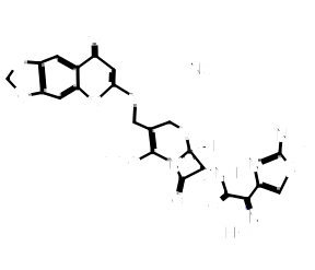 Nc1nc(/C(=N/O)C(=O)N[C@@H]2C(=O)N3C(C(=O)[O-])=C(CSc4cc(=O)c5cc6c(cc5s4)OCO6)CS[C@@H]23)cs1.[Na+]